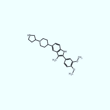 COc1ccc(-c2[nH]c3ccc(C4CCN(C5CCNC5)CC4)cc3c2C)cc1OC